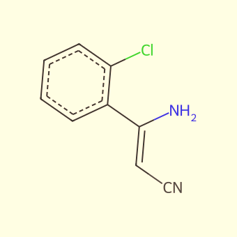 N#CC=C(N)c1ccccc1Cl